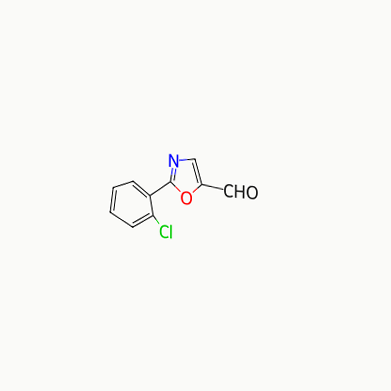 O=Cc1cnc(-c2ccccc2Cl)o1